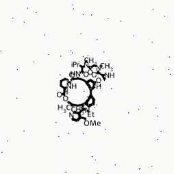 CCn1c(-c2cnccc2COC)c2c3cc(ccc31)-c1cc(O)cc(c1)C[C@H](NC(=O)C(C(C)C)N(C)C(=O)CN(C)C(=O)C1CN1)C(=O)N1CCC[C@H](N1)C(=O)OCC(C)(C)C2